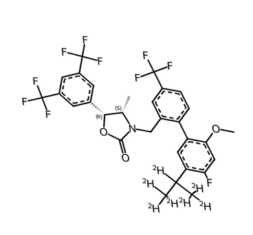 [2H]C([2H])([2H])C([2H])(c1cc(-c2ccc(C(F)(F)F)cc2CN2C(=O)O[C@H](c3cc(C(F)(F)F)cc(C(F)(F)F)c3)[C@@H]2C)c(OC)cc1F)C([2H])([2H])[2H]